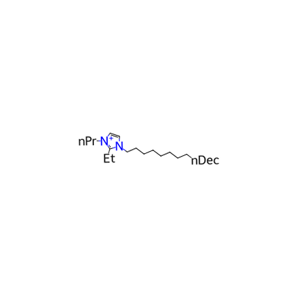 CCCCCCCCCCCCCCCCCCn1cc[n+](CCC)c1CC